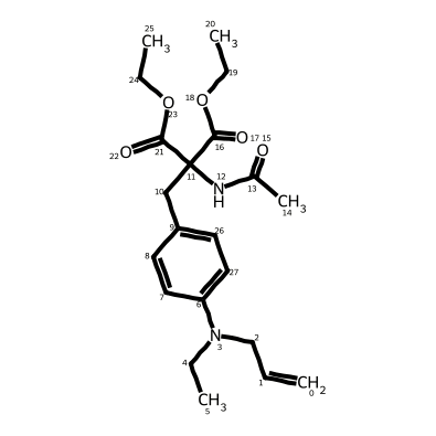 C=CCN(CC)c1ccc(CC(NC(C)=O)(C(=O)OCC)C(=O)OCC)cc1